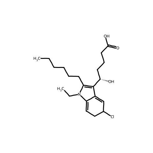 CCCCCCc1c([C@@H](O)CCCC(=O)O)c2c(n1CC)=CCC(Cl)C=2